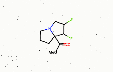 COC(=O)C12CCCN1CC(F)C2F